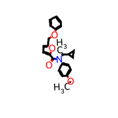 COc1ccc(N(C(=O)c2ccc(COc3ccccc3)o2)C(C)C2CC2)cc1